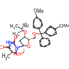 COc1ccc(C(OC[C@H]2O[C@@](CO)(n3cc(C)c(=O)[nH]c3=O)CC2O[Si](C)(C)C(C)(C)C)(c2ccccc2)c2ccc(OC)cc2)cc1